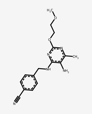 COCCOc1nc(C)c(N)c(NCc2ccc(C#N)cc2)n1